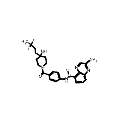 CC(F)(F)CCC1(O)CCN(C(=O)c2ccc(N[S+]([O-])c3cccc4nc(N)cnc34)cc2)CC1